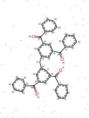 O=C(c1ccccc1)c1cc(Cc2cc(C(=O)c3ccccc3)cc(C(=O)c3ccccc3)c2)cc(C(=O)c2ccccc2)c1